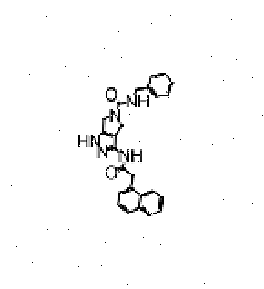 O=C(Cc1cccc2ccccc12)Nc1n[nH]c2c1CN(C(=O)NCc1ccccc1)C2